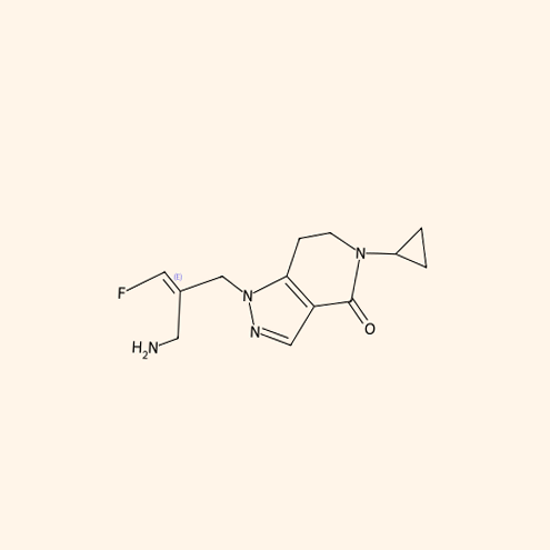 NC/C(=C\F)Cn1ncc2c1CCN(C1CC1)C2=O